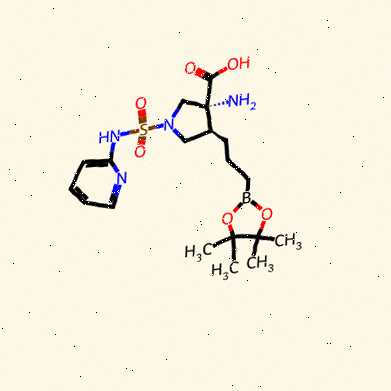 CC1(C)OB(CCC[C@H]2CN(S(=O)(=O)Nc3ccccn3)C[C@@]2(N)C(=O)O)OC1(C)C